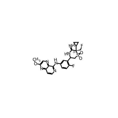 COc1cnc2c(Nc3ccc(F)c(C4CS(=O)(=O)[C@@](CF)(C5CC5)C(=N)N4)c3)nccc2n1